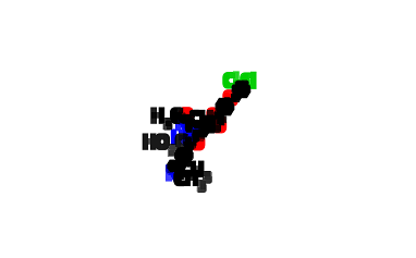 Cc1nc(CN2Cc3cc4c(cc3C[C@H]2C(=O)N[C@@H](Cc2ccc(-c3ccnc(C)c3C)cc2)C(=O)O)OC[C@H](c2ccc(OCc3ccc(Cl)c(Cl)c3)cc2)O4)c(C)o1